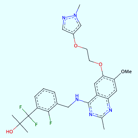 COc1cc2nc(C)nc(NCc3cccc(C(F)(F)C(C)(C)O)c3F)c2cc1OCCOc1cnn(C)c1